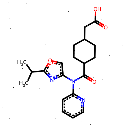 CC(C)c1nc(N(C(=O)C2CCC(CC(=O)O)CC2)c2ccccn2)co1